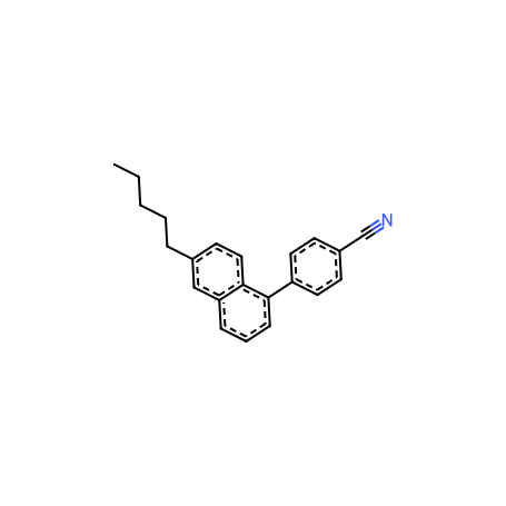 CCCCCc1ccc2c(-c3ccc(C#N)cc3)cccc2c1